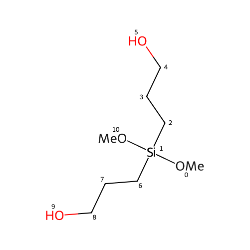 CO[Si](CCCO)(CCCO)OC